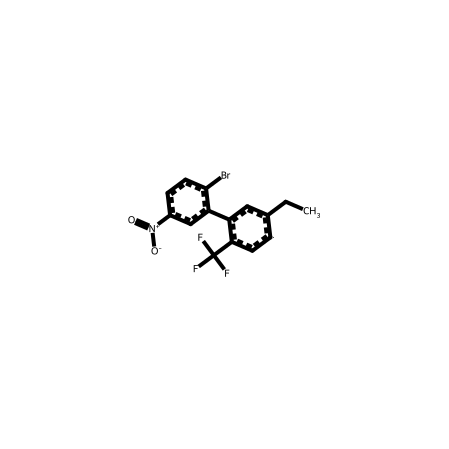 CCc1[c]cc(C(F)(F)F)c(-c2cc([N+](=O)[O-])ccc2Br)c1